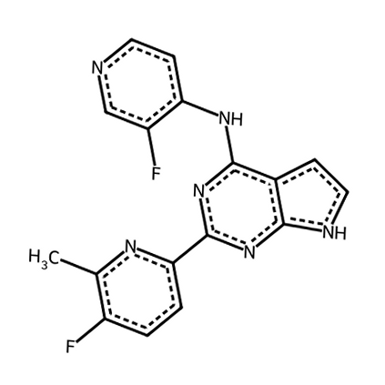 Cc1nc(-c2nc(Nc3ccncc3F)c3cc[nH]c3n2)ccc1F